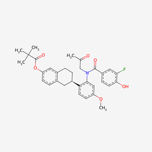 COc1ccc([C@@H]2CCc3cc(OC(=O)C(C)(C)C)ccc3C2)c(N(CC(C)=O)C(=O)c2ccc(O)c(F)c2)c1